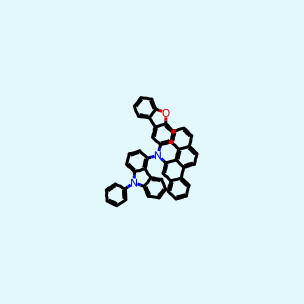 c1ccc(-n2c3ccccc3c3c(N(c4ccc5oc6ccccc6c5c4)c4cc5ccccc5c5ccc6ccccc6c45)cccc32)cc1